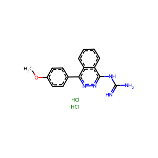 COc1ccc(-c2nnc(NC(=N)N)c3ccccc23)cc1.Cl.Cl